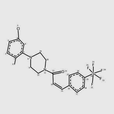 Cc1ccc(Cl)cc1N1CCN(C(=O)/C=C\c2ccc(S(F)(F)(F)(F)F)cc2)CC1